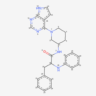 O=C(NC1CCCN(c2ncnc3[nH]ccc23)C1)C(Cc1ccccc1)Nc1ccccc1